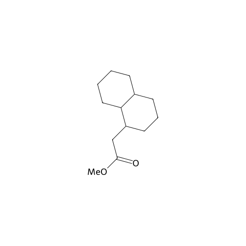 COC(=O)CC1CCCC2CCCCC21